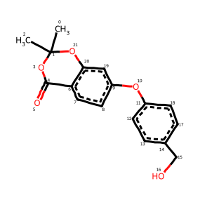 CC1(C)OC(=O)c2ccc(Oc3ccc(CO)cc3)cc2O1